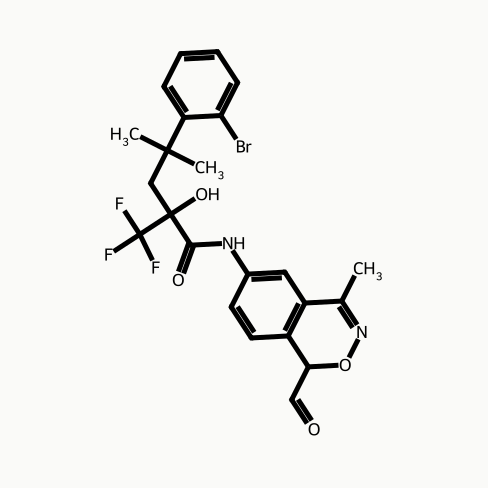 CC1=NOC(C=O)c2ccc(NC(=O)C(O)(CC(C)(C)c3ccccc3Br)C(F)(F)F)cc21